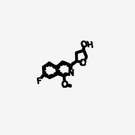 COc1nc(C2CC(O)CO2)cc2ccc(F)cc12